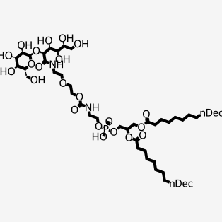 CCCCCCCCCCCCCCCCCC(=O)OCC(COP(=O)(O)OCCNC(=O)OCCOCCNC(=O)[C@@H](O[C@H]1O[C@H](CO)[C@@H](O)[C@H](O)[C@@H]1O)[C@H](O)[C@H](O)[C@H](O)CO)OC(=O)CCCCCCCCCCCCCCCCC